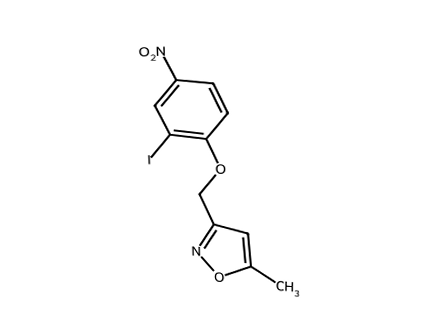 Cc1cc(COc2ccc([N+](=O)[O-])cc2I)no1